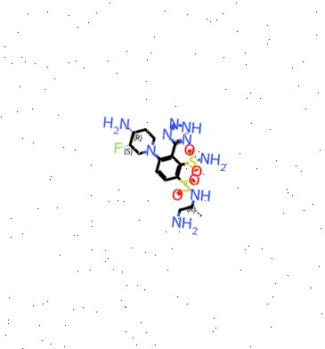 C[C@H](CN)NS(=O)(=O)c1ccc(N2CC[C@@H](N)[C@@H](F)C2)c(-c2nn[nH]n2)c1S(N)(=O)=O